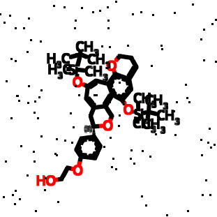 CC(C)(C)[Si](C)(C)OC1=Cc2c3c(cc(O[Si](C)(C)C(C)(C)C)c2=C2CO[C@H](c4ccc(OCCO)cc4)CC2=C1)=CCCO3